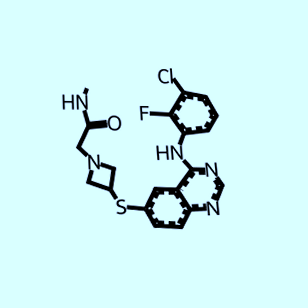 CNC(=O)CN1CC(Sc2ccc3ncnc(Nc4cccc(Cl)c4F)c3c2)C1